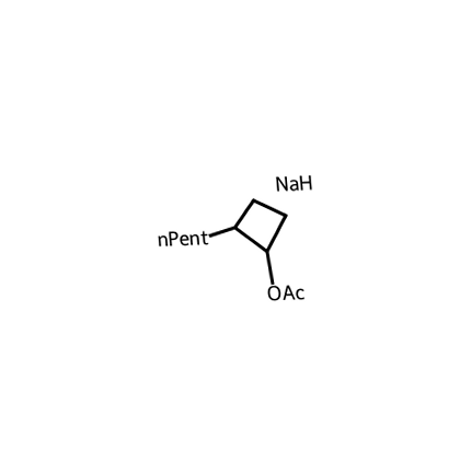 CCCCCC1CCC1OC(C)=O.[NaH]